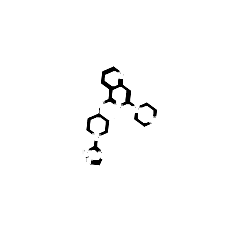 C[C@@H]1CN(c2ncn[nH]2)CC[C@H]1Oc1nc(N2CCOCC2)cc2ncccc12